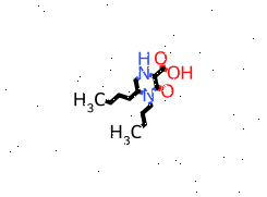 CCCCC1CNC(C(=O)O)C(=O)N1CCCC